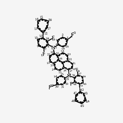 Fc1ccc(N(c2c(F)ccc(-c3ccccc3)c2F)c2ccc3ccc4c(N(c5ccc(F)cc5)c5c(F)ccc(-c6ccccc6)c5F)ccc5ccc2c3c54)cc1